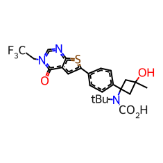 CC1(O)CC(c2ccc(-c3cc4c(=O)n(CC(F)(F)F)cnc4s3)cc2)(N(C(=O)O)C(C)(C)C)C1